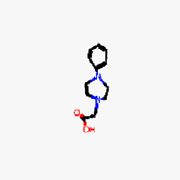 O=C(O)CN1CCN(c2ccccc2)CC1